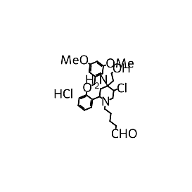 COc1cc(COc2ccccc2C2CC(N)(CCO)C(Cl)CN2CCCCC=O)cc(OC)c1.Cl